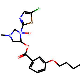 CCCCOc1cccc(C(=O)OC2CN(C)C[N+]2([O-])c2ncc(Br)s2)c1